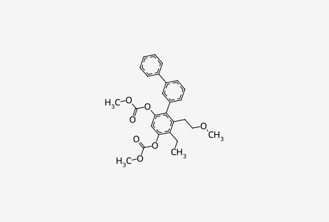 CCc1c(OC(=O)OC)cc(OC(=O)OC)c(-c2cccc(-c3ccccc3)c2)c1CCOC